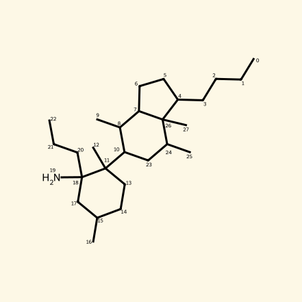 CCCCC1CCC2C(C)C(C3(C)CCC(C)CC3(N)CCC)CC(C)C12C